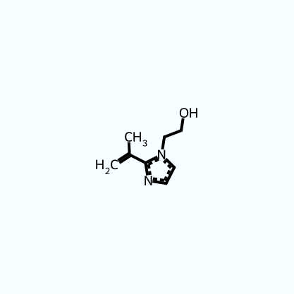 C=C(C)c1nccn1CCO